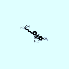 Cc1cc(C)c(NS(=O)(=O)c2cccc(CCCCCC(O)O)c2)c(C)c1